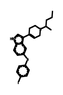 CCCC(C)N1CC=C(c2c[nH]c3ccc(Sc4ccc(I)cc4)cc23)CC1